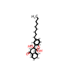 CCCCCCCCCc1ccc2c(c1)C1(O)CC(=O)C3=CCCC=C3C1(O)O2